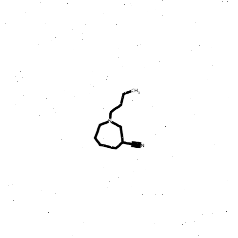 CCCCN1CCCCC(C#N)C1